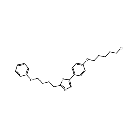 ClCCCCCOc1ccc(-c2nnc(CSCCOc3ccccc3)o2)cc1